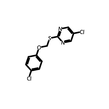 Clc1ccc(OCSc2ncc(Cl)cn2)cc1